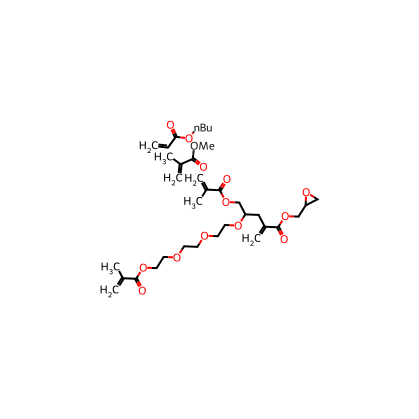 C=C(C)C(=O)OC.C=C(C)C(=O)OCCOCCOCCOC(COC(=O)C(=C)C)CC(=C)C(=O)OCC1CO1.C=CC(=O)OCCCC